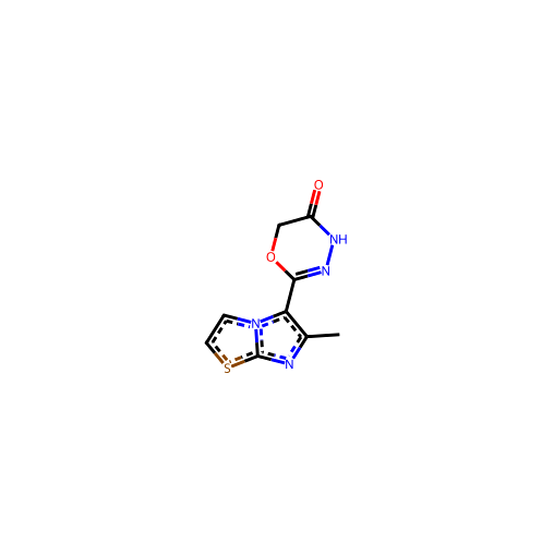 Cc1nc2sccn2c1C1=NNC(=O)CO1